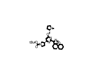 CN1CCC[C@H]1COc1cc([C@H]2CCN(C(=O)OC(C)(C)C)C2)nc(-c2noc3c2CCC[C@@]32CCCCC2=O)n1